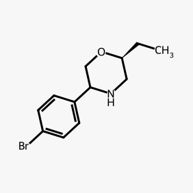 CC[C@H]1CNC(c2ccc(Br)cc2)CO1